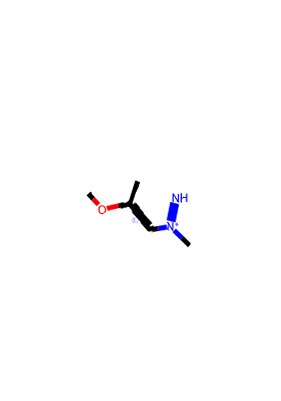 CO/C(C)=C/[N+](C)=N